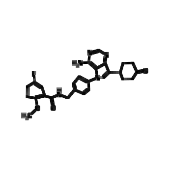 COc1ccc(F)cc1C(=O)NCc1ccc(-n2cc(C3CCC(=O)CC3)c3ncnc(N)c32)cc1